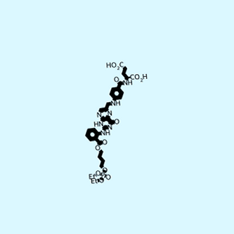 CCOP(=O)(OCC)OCCCCOC(=O)c1ccccc1Nc1nc(=O)c2nc(CNc3ccc(C(=O)N[C@@H](CCC(=O)O)C(=O)O)cc3)cnc2[nH]1